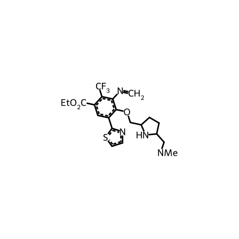 C=Nc1c(OCC2CCC(CNC)N2)c(-c2nccs2)cc(C(=O)OCC)c1C(F)(F)F